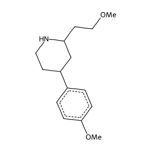 COCCC1CC(c2ccc(OC)cc2)CCN1